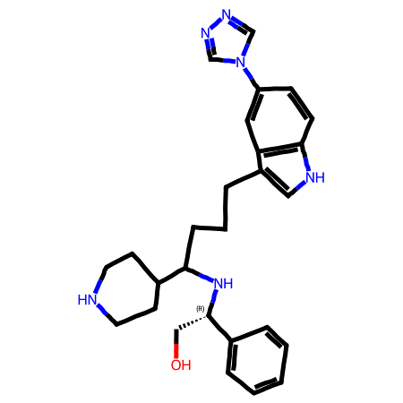 OC[C@H](NC(CCCc1c[nH]c2ccc(-n3cnnc3)cc12)C1CCNCC1)c1ccccc1